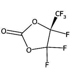 O=C1OC(F)(F)[C@](F)(C(F)(F)F)O1